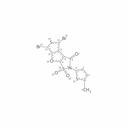 Cc1ccc(N2C(=O)c3c(oc4c(Br)sc(Br)c34)S2(=O)=O)s1